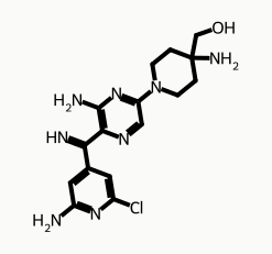 N=C(c1cc(N)nc(Cl)c1)c1ncc(N2CCC(N)(CO)CC2)nc1N